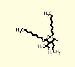 CCCCCCCCOC(=O)C(CCC)=C(C(=O)OCCCCCCCC)C(C)C